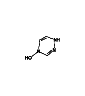 ON1C=CNN=C1